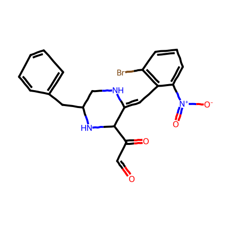 O=CC(=O)C1NC(Cc2ccccc2)CNC1=Cc1c(Br)cccc1[N+](=O)[O-]